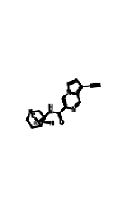 C#Cc1ccn2cc(C(=O)N[C@H]3CN4CCC3CC4)ncc12